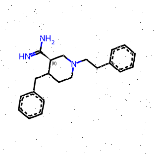 N=C(N)[C@H]1CN(C[CH]c2ccccc2)CCC1Cc1ccccc1